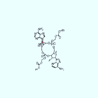 CC(C)OC(=O)OCOP1(=O)OC[C@H]2O[C@@H](n3cnc4c(N)ccnc43)[C@@H](F)C2OP(=O)(OCOC(=O)OC(C)C)OC[C@H]2O[C@@H](n3cnc4c(N)ncnc43)C(O1)[C@H]2O